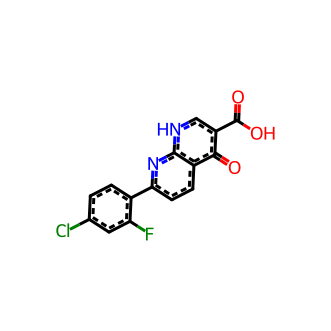 O=C(O)c1c[nH]c2nc(-c3ccc(Cl)cc3F)ccc2c1=O